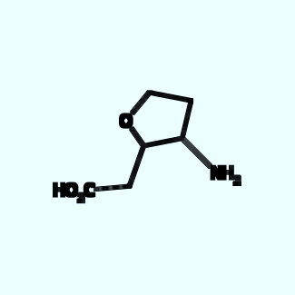 NC1CCOC1CC(=O)O